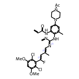 C=CC(=O)Nc1cc(N2CCN(C(C)=O)CC2)cc(C)c1N/C(N=C)=N/C=C(C)/C=C(\F)c1c(Cl)c(OC)cc(OC)c1Cl